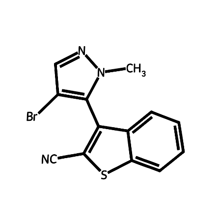 Cn1ncc(Br)c1-c1c(C#N)sc2ccccc12